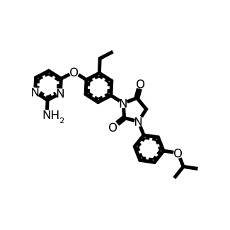 CCc1cc(N2C(=O)CN(c3cccc(OC(C)C)c3)C2=O)ccc1Oc1ccnc(N)n1